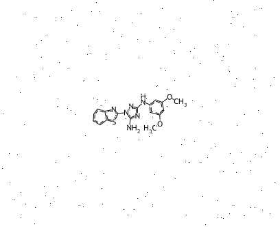 COc1cc(Nc2nc(N)n(-c3nc4ccccc4s3)n2)cc(OC)c1